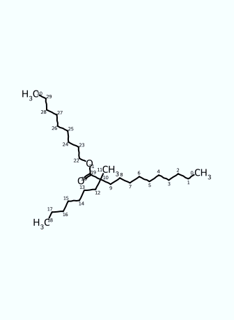 CCCCCCCCCCC(C)(CCCCCCC)C(=O)OCCCCCCCCC